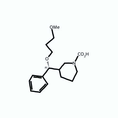 COCCCO[C@@H](c1ccccc1)C1CCCN(C(=O)O)C1